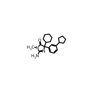 CN1C(=O)C(c2cccc(C3CCCC3)c2)(C2CCCCC2)N=C1N